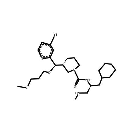 CNC[C@H](CC1CCCCC1)NC(=O)N1CCC[C@@H]([C@@H](OCCCOC)c2cc(Cl)ccn2)C1